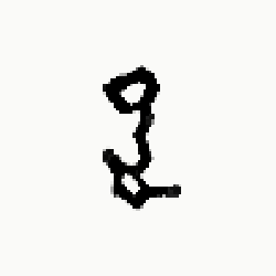 O=C1CCC(=O)N1CCOc1cc[c]cc1